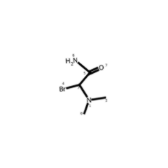 CN(C)C(Br)C(N)=O